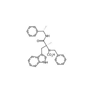 C[C@H](NC(=O)[C@](C)(Cc1c[nH]c2ccccc12)N(Cc1ccccc1)C(=O)O)c1ccccc1